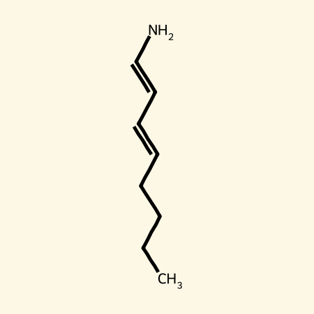 CCCCC=CC=CN